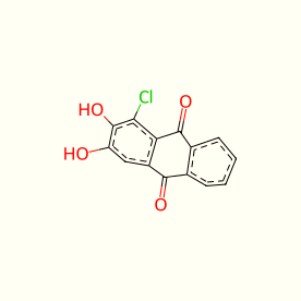 O=C1c2ccccc2C(=O)c2c1cc(O)c(O)c2Cl